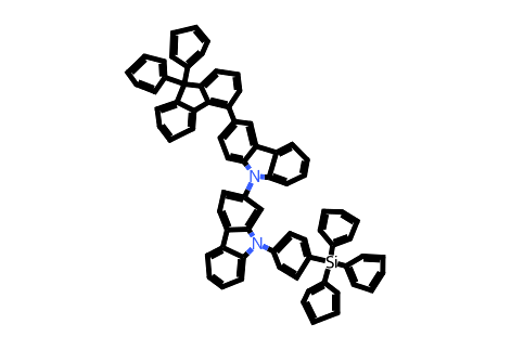 c1ccc(C2(c3ccccc3)c3ccccc3-c3c(-c4ccc5c(c4)c4ccccc4n5-c4ccc5c6ccccc6n(-c6ccc([Si](c7ccccc7)(c7ccccc7)c7ccccc7)cc6)c5c4)cccc32)cc1